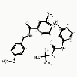 COc1ccc(CNC(=O)c2ccc(Nc3cc(NC(=O)OC(C)(C)C)ncn3)c(N)c2)cc1